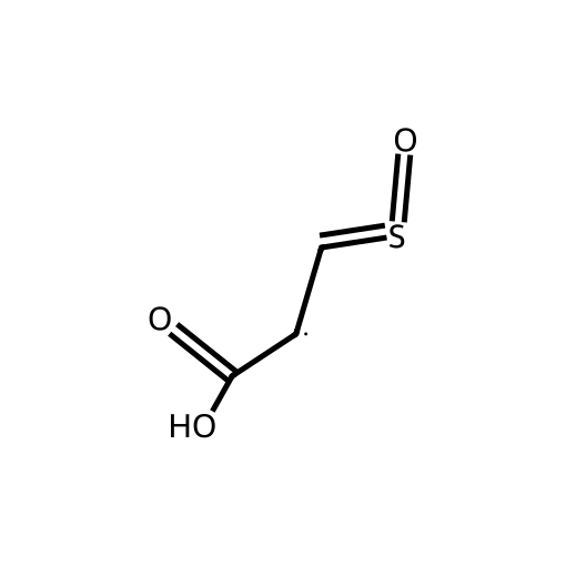 O=S=C[CH]C(=O)O